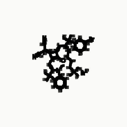 CN1/C(=C\C2=C([O-])C(=C\C3=[N+](CCC[N+](C)(C)C)c4ccc(Br)cc4C3(C)C)/C2=C(C#N)C#N)C(C)(C)c2ccccc21.[Br-]